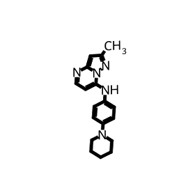 Cc1cc2nccc(Nc3ccc(N4CCCCC4)cc3)n2n1